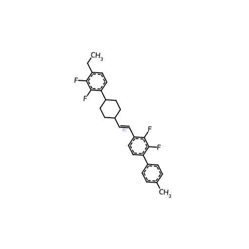 CCc1ccc(C2CCC(/C=C/c3ccc(-c4ccc(C)cc4)c(F)c3F)CC2)c(F)c1F